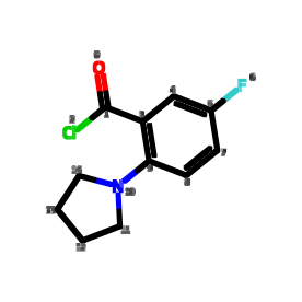 O=C(Cl)c1cc(F)ccc1N1CCCC1